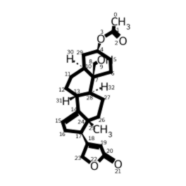 CC(=O)O[C@H]1CC[C@@]2(CO)[C@@H](CC[C@H]3C4=CC[C@H](C5=CC(=O)OC5)[C@@]4(C)CC[C@@H]32)C1